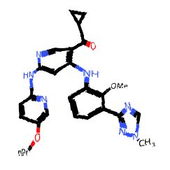 CCCOc1ccc(Nc2cc(Nc3cccc(-c4ncn(C)n4)c3OC)c(C(=O)C3CC3)cn2)nc1